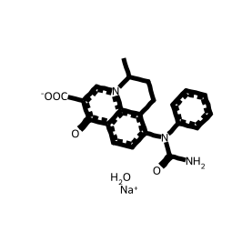 CC1CCc2c(N(C(N)=O)c3ccccc3)ccc3c(=O)c(C(=O)[O-])cn1c23.O.[Na+]